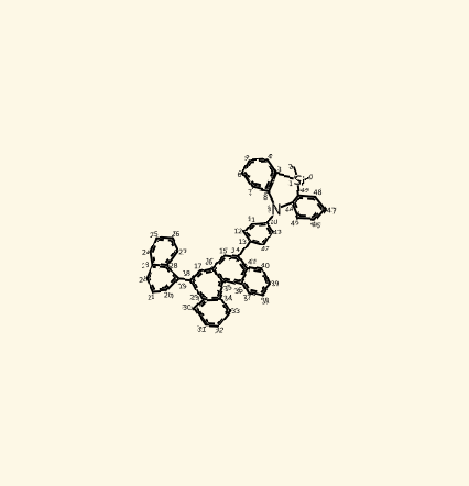 C[Si]1(C)c2ccccc2N(c2ccc(-c3cc4cc(-c5cccc6ccccc56)c5ccccc5c4c4ccccc34)cc2)c2ccccc21